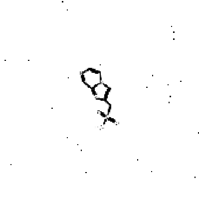 [CH2]S(=O)(=O)Cc1cn2ccncc2n1